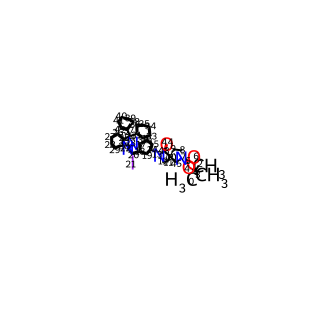 CC(C)(C)OC(=O)N1CC[C@]2(CCN(c3ccc4c(c3)c(I)nn4C(c3ccccc3)(c3ccccc3)c3ccccc3)C2=O)C1